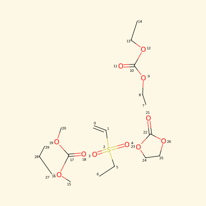 C=CS(=O)(=O)CC.CCOC(=O)OCC.COC(=O)OC.O=C1OCCO1.[CH2]CC